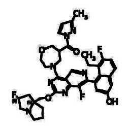 CCc1c(F)ccc2cc(O)cc(-c3ncc4c(N5CCOCC(C(=O)n6ccc(C)n6)C5)nc(OC[C@@]56CCCN5C[C@H](F)C6)nc4c3F)c12